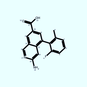 Cc1cccc(F)c1-c1cc(C(=O)O)cc2cnc(N)cc12